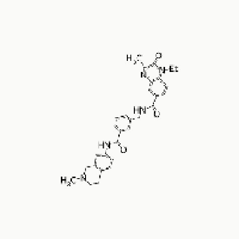 CCn1c(=O)c(C)nc2cc(C(=O)NCc3cccc(C(=O)Nc4ccc5c(c4)CN(C)CC5)c3)ccc21